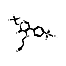 CS(=O)(=O)c1ccc(-c2cnn(CC(F)(F)F)c(=O)c2NCCC#N)cc1